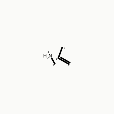 C=CC.CN